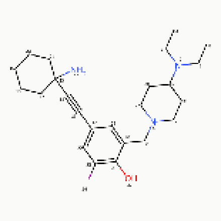 CCN(CC)C1CCN(Cc2cc(C#CC3(N)CCCCC3)cc(I)c2O)CC1